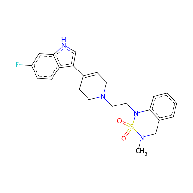 CN1Cc2ccccc2N(CCN2CC=C(c3c[nH]c4cc(F)ccc34)CC2)S1(=O)=O